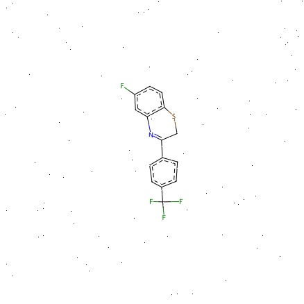 Fc1ccc2c(c1)N=C(c1ccc(C(F)(F)F)cc1)CS2